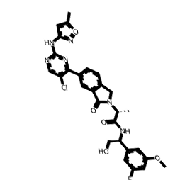 COc1cc(F)cc([C@@H](CO)NC(=O)[C@@H](C)N2Cc3ccc(-c4nc(Nc5cc(C)on5)ncc4Cl)cc3C2=O)c1